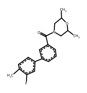 Cc1ccc(-c2cccc(C(=O)N3CC(C)OC(C)C3)c2)cc1F